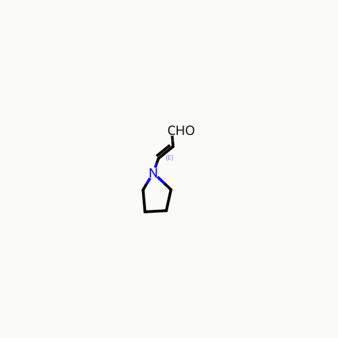 O=C/C=C/N1CCCC1